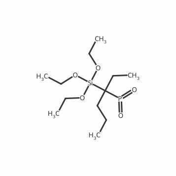 CCCC(CC)(P(=O)=O)[Si](OCC)(OCC)OCC